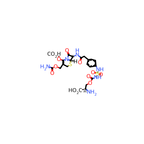 NC(=O)OCC1=C(OC(=O)O)N2C(=O)[C@@H](NC(=O)Cc3ccc(NS(=O)(=O)NC(=O)OC[C@@H](N)C(=O)O)cc3)[C@@H]2SC1